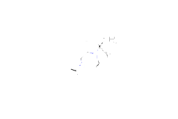 C=C(C)N1CCN(C(C)(C)C(C)C)CC1